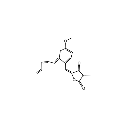 C=C/C=C\C=C1/CC(OC)=CC=C1/C=C1/OC(=O)N(C)C1=O